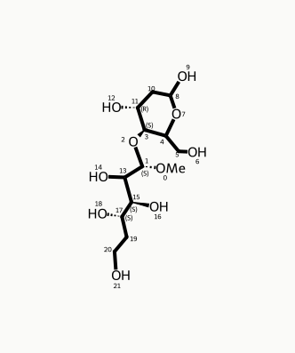 CO[C@@H](O[C@@H]1C(CO)OC(O)C[C@H]1O)C(O)[C@@H](O)[C@@H](O)CCO